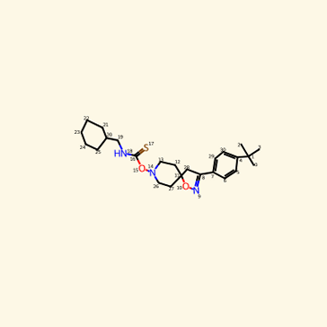 CC(C)(C)c1ccc(C2=NOC3(CCN(OC(=S)NCC4CCCCC4)CC3)C2)cc1